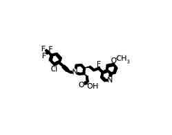 COc1ccc2nccc(C(F)CC[C@@H]3CCN(CC#Cc4ccc(C(F)(F)F)cc4Cl)C[C@@H]3CC(=O)O)c2c1